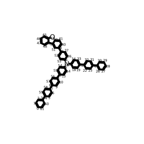 c1ccc(-c2ccc(-c3ccc(-c4ccc(N(c5ccc(-c6ccc(-c7ccccc7)cc6)cc5)c5ccc(-c6ccc7oc8ccccc8c7c6)cc5)cc4)cc3)cc2)cc1